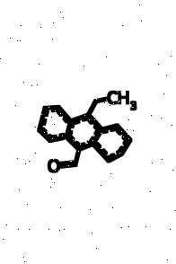 CCc1c2ccccc2c(C=O)c2ccccc12